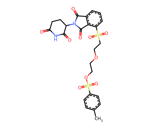 Cc1ccc(S(=O)(=O)OCCOCCS(=O)(=O)c2cccc3c2C(=O)N(C2CCC(=O)NC2=O)C3=O)cc1